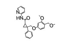 COCc1ccc(OCC2(c3ccccc3)CC2C(=O)Nc2ccccn2)cc1OC